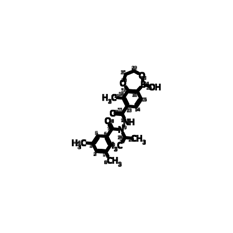 Cc1cc(C)cc(C(=O)N(NC(=O)c2ccc3c(c2C)OCCOB3O)C(C)C)c1